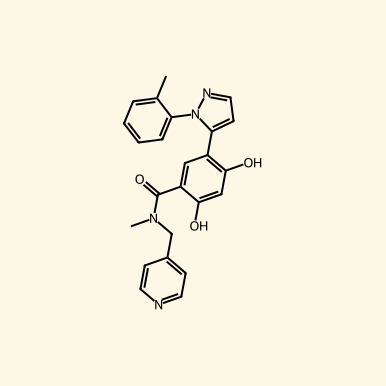 Cc1ccccc1-n1nccc1-c1cc(C(=O)N(C)Cc2ccncc2)c(O)cc1O